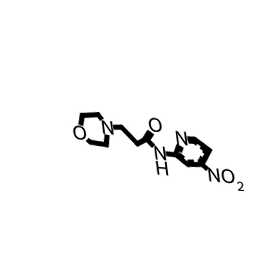 O=C(CCN1CCOCC1)Nc1cc([N+](=O)[O-])ccn1